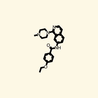 CCOc1ccc(C(=O)Nc2ccc3ccnc(N4CCN(C)CC4)c3c2)cc1